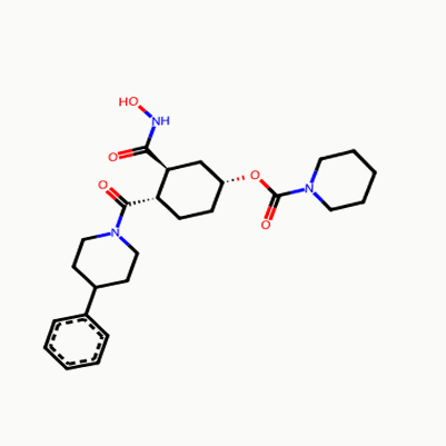 O=C(NO)[C@H]1C[C@H](OC(=O)N2CCCCC2)CC[C@@H]1C(=O)N1CCC(c2ccccc2)CC1